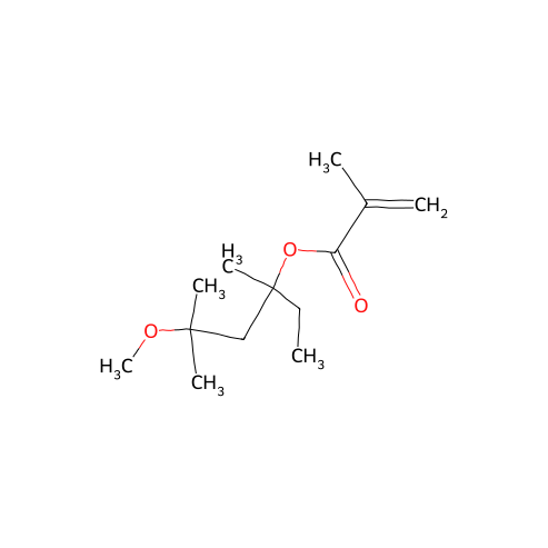 C=C(C)C(=O)OC(C)(CC)CC(C)(C)OC